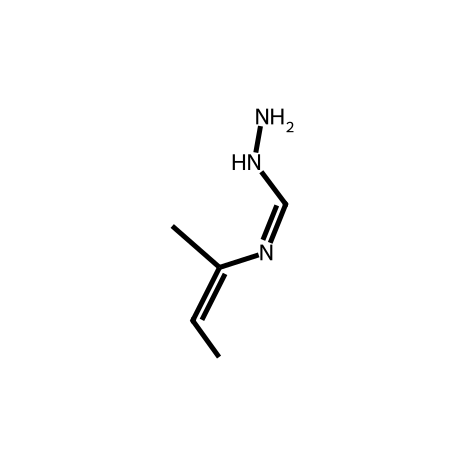 C/C=C(C)\N=C/NN